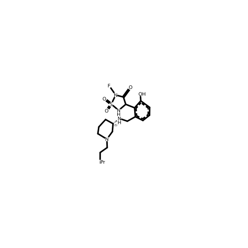 CC(C)CCN1CCC[C@H](NCc2cccc(O)c2C2NS(=O)(=O)N(F)C2=O)C1